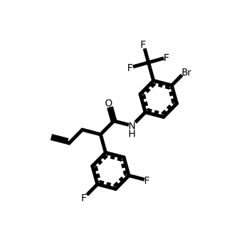 C=CCC(C(=O)Nc1ccc(Br)c(C(F)(F)F)c1)c1cc(F)cc(F)c1